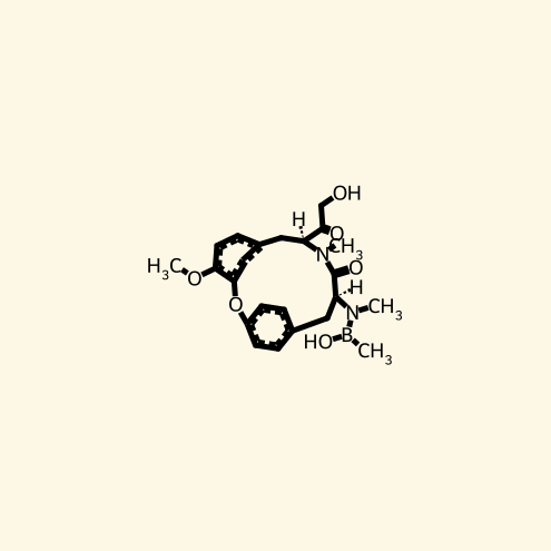 COc1ccc2cc1Oc1ccc(cc1)C[C@H](N(C)B(C)O)C(=O)N(C)[C@H](C(=O)CO)C2